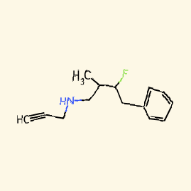 C#CCNCC(C)C(F)Cc1ccccc1